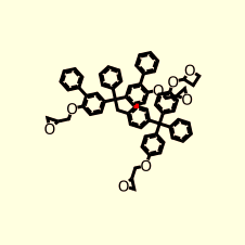 c1ccc(-c2cc(C(Cc3ccc(C(c4ccccc4)(c4ccc(OCC5CO5)cc4)c4ccc(OC5CCO5)cc4)cc3)(c3ccccc3)c3ccc(OCC4CO4)c(-c4ccccc4)c3)ccc2OCC2CO2)cc1